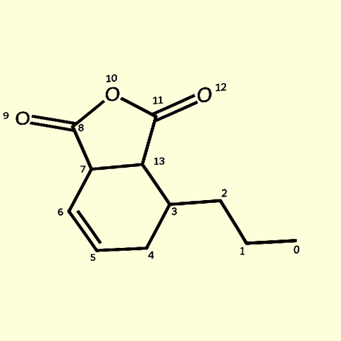 CCCC1CC=CC2C(=O)OC(=O)C12